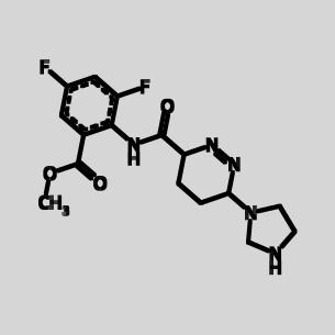 COC(=O)c1cc(F)cc(F)c1NC(=O)C1CCC(N2CCNC2)N=N1